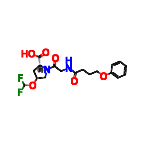 O=C(CCCOc1ccccc1)NCC(=O)N1CC(OC(F)F)C[C@@H]1C(=O)O